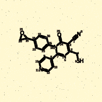 N#Cc1c(CS)nc(-c2ccncc2)n(-c2ccc(C3CO3)cc2)c1=O